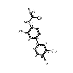 N=C(Cl)Nc1ccc(-c2ccc(F)c(F)c2)cc1F